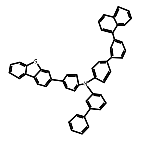 c1ccc(-c2cccc(N(c3ccc(-c4cccc(-c5cccc6ccccc56)c4)cc3)c3ccc(-c4ccc5c(c4)sc4ccccc45)cc3)c2)cc1